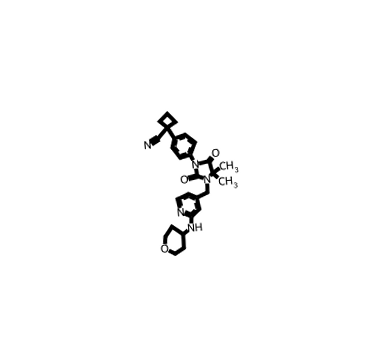 CC1(C)C(=O)N(c2ccc(C3(C#N)CCC3)cc2)C(=O)N1Cc1ccnc(NC2CCOCC2)c1